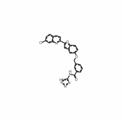 O=C(Nc1nnn[nH]1)c1cccc(COc2ccc3oc(-c4ccc5ccc(Cl)cc5n4)cc3c2)c1